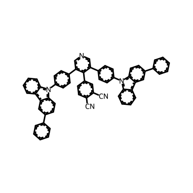 N#Cc1ccc(-c2c(-c3ccc(-n4c5ccccc5c5cc(-c6ccccc6)ccc54)cc3)cncc2-c2ccc(-n3c4ccccc4c4cc(-c5ccccc5)ccc43)cc2)cc1C#N